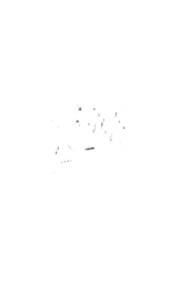 CN1C(=O)c2c(nc(S(=O)(=O)CC3CC3)n2C)N(CC#Cc2cccc(Cl)c2)C1O